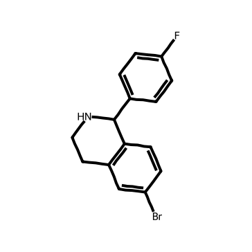 Fc1ccc(C2NCCc3cc(Br)ccc32)cc1